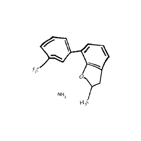 CC1Cc2cccc(-c3cccc(C(F)(F)F)c3)c2O1.N